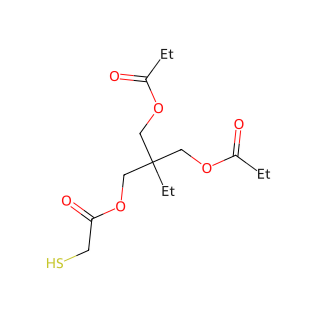 CCC(=O)OCC(CC)(COC(=O)CC)COC(=O)CS